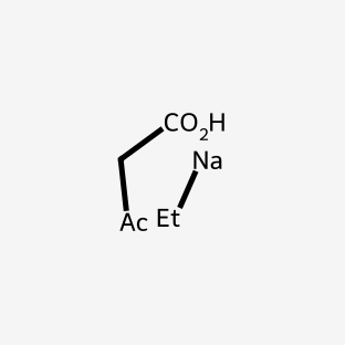 CC(=O)CC(=O)O.C[CH2][Na]